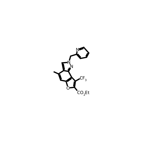 CCOC(=O)c1oc2cc(C)c3cn(Cc4ccccn4)nc3c2c1C(F)(F)F